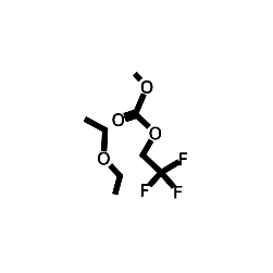 CCOCC.COC(=O)OCC(F)(F)F